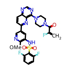 C=C(F)C(=O)N1CCN(c2ncnc3ccc(-c4cnc(OC)c(NS(=O)(=O)c5c(F)cccc5F)c4)nc23)CC1